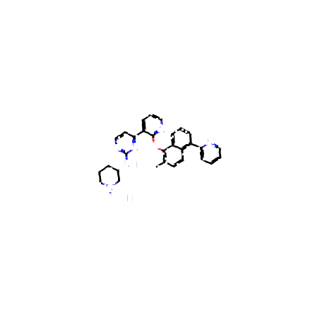 Cc1ccc2c(-c3ccccn3)cccc2c1Oc1ncccc1-c1ccnc(N[C@H]2CCCN(C(=O)O)C2)n1